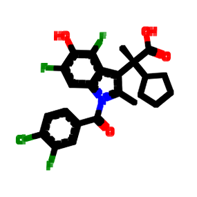 Cc1c([C@](C)(C(=O)O)C2CCCC2)c2c(F)c(O)c(F)cc2n1C(=O)c1ccc(Cl)c(F)c1